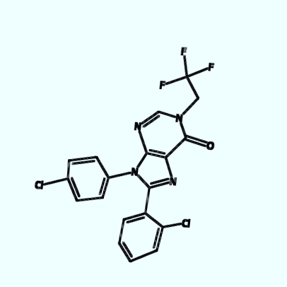 O=c1c2nc(-c3ccccc3Cl)n(-c3ccc(Cl)cc3)c2ncn1CC(F)(F)F